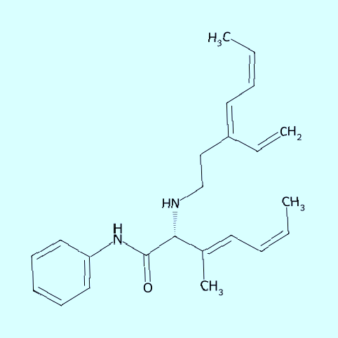 C=C/C(=C\C=C/C)CCN[C@@H](C(=O)Nc1ccccc1)/C(C)=C/C=C\C